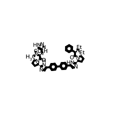 CCN(CC)[C@@H](C(=O)N1CCC[C@H]1c1ncc(-c2ccc(-c3ccc(-c4cnc([C@@H]5CCCN5C(=O)[C@H](Cc5c[nH]nn5)N(C)C(=O)O)[nH]4)cc3)cc2)[nH]1)c1ccccc1